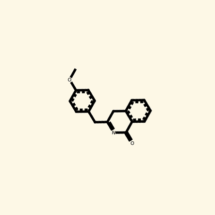 COc1ccc(CC2=NC(=O)c3ccccc3C2)cc1